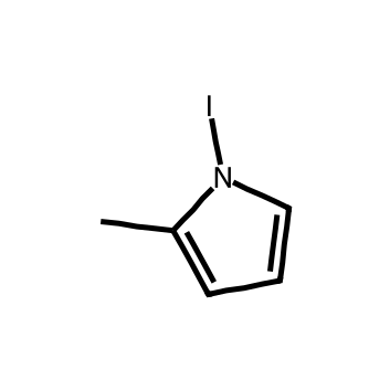 Cc1cccn1I